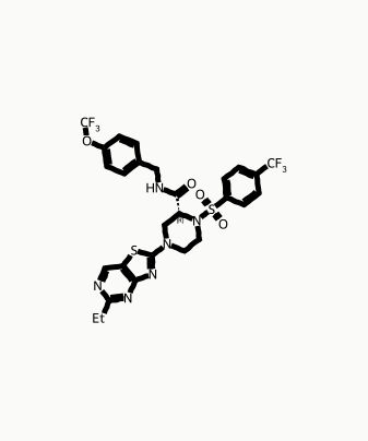 CCc1ncc2sc(N3CCN(S(=O)(=O)c4ccc(C(F)(F)F)cc4)[C@@H](C(=O)NCc4ccc(OC(F)(F)F)cc4)C3)nc2n1